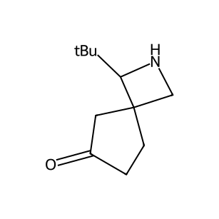 CC(C)(C)C1NCC12CCC(=O)C2